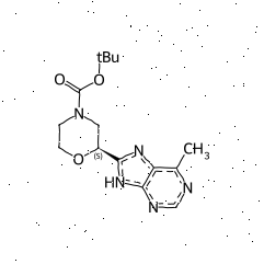 Cc1ncnc2[nH]c([C@@H]3CN(C(=O)OC(C)(C)C)CCO3)nc12